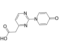 O=C(O)Cc1ccnc(-n2ccc(=O)cc2)n1